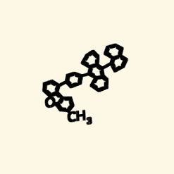 Cc1ccc2c(c1)oc1cccc(-c3ccc(-c4c5ccccc5c(-c5cccc6ccccc56)c5ccccc45)cc3)c12